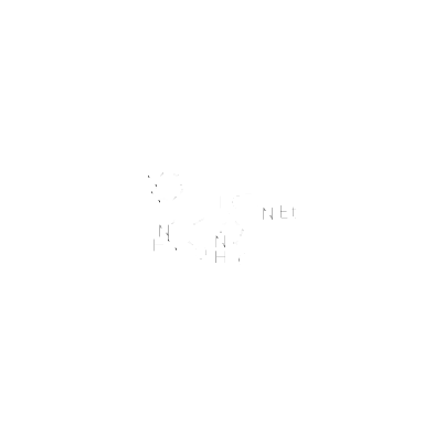 CCN(CC)Cc1c(C)[nH]c(C=C2C(=O)NN=C2c2cccnn2)c1C